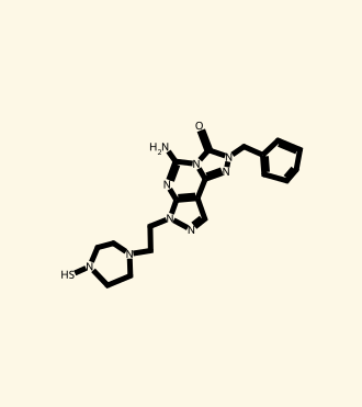 Nc1nc2c(cnn2CCN2CCN(S)CC2)c2nn(Cc3ccccc3)c(=O)n12